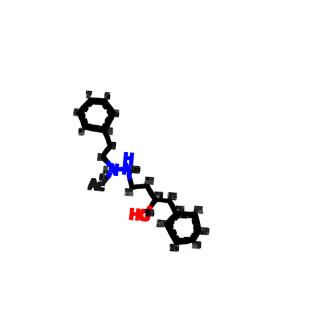 CC(=O)N(CCc1ccccc1)NCCC(O)Cc1ccccc1